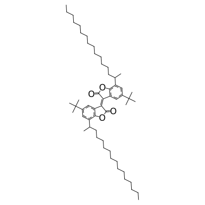 CCCCCCCCCCCCCCC(C)c1cc(C(C)(C)C)cc2c1OC(=O)C2=C1C(=O)Oc2c1cc(C(C)(C)C)cc2C(C)CCCCCCCCCCCCCC